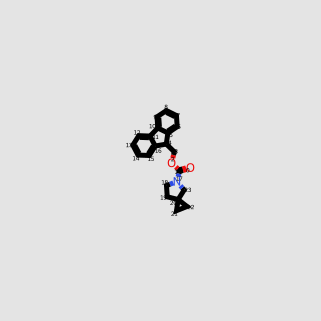 O=C(OCC1c2ccccc2-c2ccccc21)N1CCC2(CC2)C1